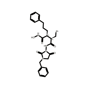 CC(C)C[C@@H](C(=O)NN1C(=O)CN(Cc2ccccc2)C1=O)[C@H](CCCc1ccccc1)C(=O)NO